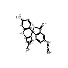 N=C=[SH]c1ccc2c(c1)C(=O)OC21c2ccc(O)cc2Oc2cc(O)ccc21